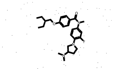 CCC(CC)COc1ccc(C(=O)N(C)c2ccc(N3CCC(N(C)C)C3)c(F)c2)cc1